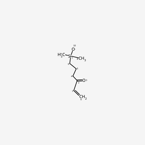 C=CC(=O)CCC[Si](C)(C)[O]